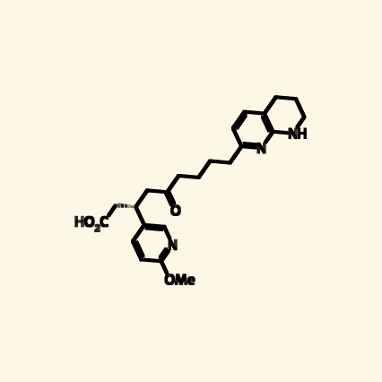 COc1ccc([C@H](CC(=O)O)CC(=O)CCCCc2ccc3c(n2)NCCC3)cn1